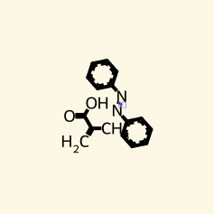 C=C(C)C(=O)O.c1ccc(/N=N/c2ccccc2)cc1